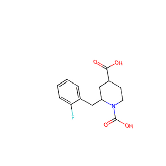 O=C(O)C1CCN(C(=O)O)C(Cc2ccccc2F)C1